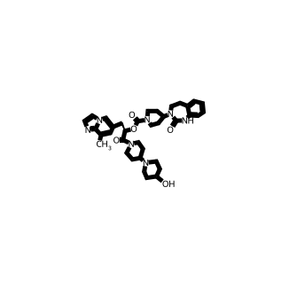 Cc1cc(C[C@@H](OC(=O)N2CCC(N3CCc4ccccc4NC3=O)CC2)C(=O)N2CCC(N3CCC(O)CC3)CC2)cn2ccnc12